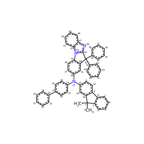 CC1(C)c2ccccc2-c2ccc(N(c3ccc(-c4ccccc4)cc3)c3ccc4c(c3)C(c3ccccc3)(c3ccccc3)c3nc5ccccc5n3-4)cc21